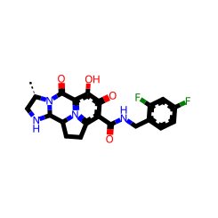 C[C@H]1CNC2C3CCc4c(C(=O)NCc5ccc(F)cc5F)c(=O)c(O)c(n43)C(=O)N21